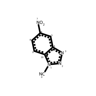 N#Cn1nnc2cc([N+](=O)[O-])ccc21